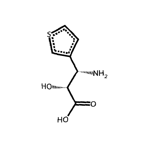 N[C@@H](c1ccsc1)[C@@H](O)C(=O)O